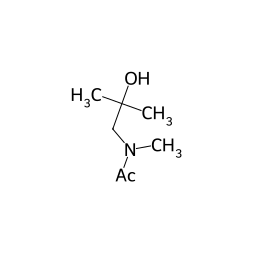 CC(=O)N(C)CC(C)(C)O